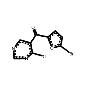 O=C(c1ccc(Br)o1)c1cncnc1Cl